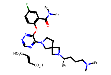 CCN(C(=O)c1cc(F)ccc1Oc1nncnc1N1CCC2(C1)CN([C@H](CCCN(C)C(C)C)C(C)C)C2)C(C)C.O=C(O)/C=C/C(=O)O